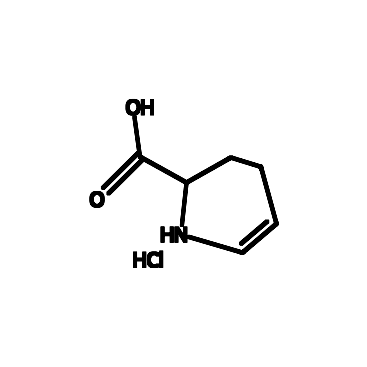 Cl.O=C(O)C1CCC=CN1